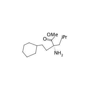 COC(=O)[C@](N)(CCC1CCCCC1)CC(C)C